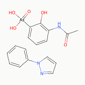 CC(=O)Nc1cccc([As](=O)(O)O)c1O.c1ccc(-n2cccn2)cc1